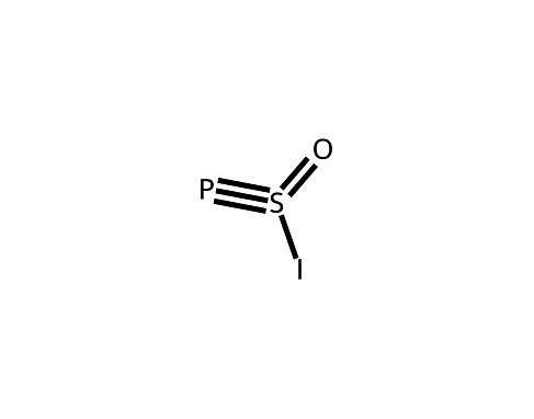 O=S(#P)I